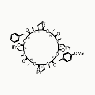 COc1ccc(C[C@H]2OC(=O)[C@H](CC(C)C)N(C)C(=O)[C@@H](C)OC(=O)[C@H](CC(C)C)N(C)C(=O)[C@@H](Cc3ccccc3)OC(=O)[C@H](CC(C)C)N(C)C(=O)[C@@H](C)OC(=O)[C@H](CC(C)C)N(C)C2=O)cc1